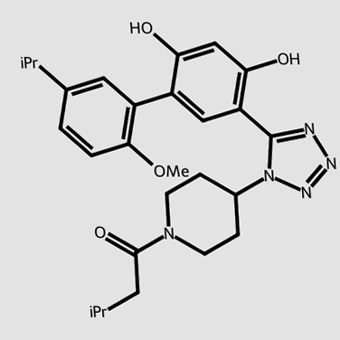 COc1ccc(C(C)C)cc1-c1cc(-c2nnnn2C2CCN(C(=O)CC(C)C)CC2)c(O)cc1O